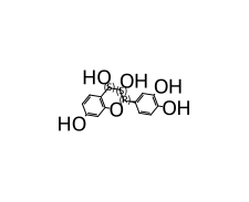 Oc1ccc2c(c1)O[C@H](c1ccc(O)c(O)c1)[C@@H](O)[C@H]2O